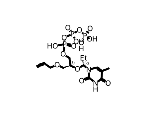 C=CCOC[C@@H](COP(=O)(O)OP(=O)(O)OP(=O)(O)O)O[C@H](CC)n1cc(C)c(=O)[nH]c1=O